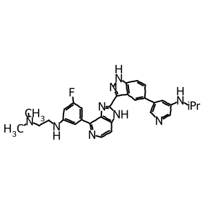 CC(C)Nc1cncc(-c2ccc3[nH]nc(-c4nc5c(-c6cc(F)cc(NCCN(C)C)c6)nccc5[nH]4)c3c2)c1